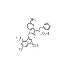 CCc1cc(C)c2c(Cn3c(=O)n([C@@H](Cc4ccccc4)C(=O)O)c4cc(N)ccc43)cn(C)c2c1